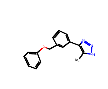 N#Cc1[nH]nnc1-c1cccc(COc2ccccc2)c1